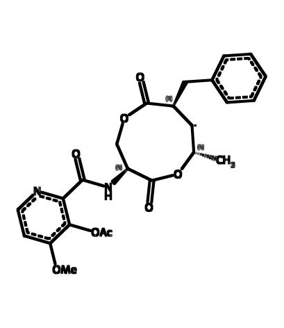 COc1ccnc(C(=O)N[C@H]2COC(=O)[C@@H](Cc3ccccc3)[CH][C@H](C)OC2=O)c1OC(C)=O